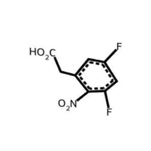 O=C(O)Cc1cc(F)cc(F)c1[N+](=O)[O-]